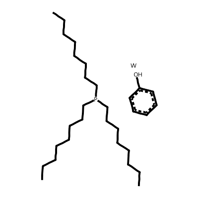 CCCCCCCCP(CCCCCCCC)CCCCCCCC.Oc1ccccc1.[W]